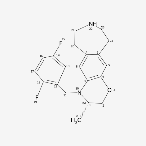 C[C@H]1COc2cc3c(cc2N1Cc1cc(F)ccc1F)CCNCC3